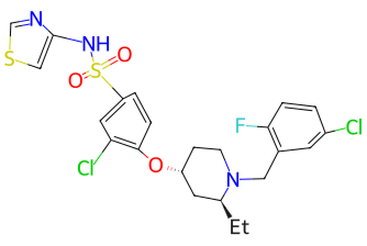 CC[C@H]1C[C@H](Oc2ccc(S(=O)(=O)Nc3cscn3)cc2Cl)CCN1Cc1cc(Cl)ccc1F